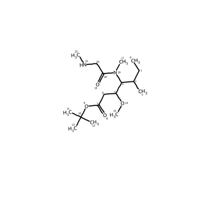 CCC(C)C(C(CC(=O)OC(C)(C)C)OC)N(C)C(=O)CNC